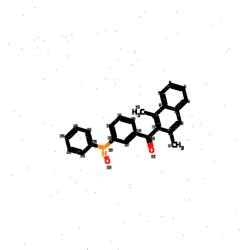 Cc1cc2ccccc2c(C)c1C(=O)c1cccc([PH](=O)c2ccccc2)c1